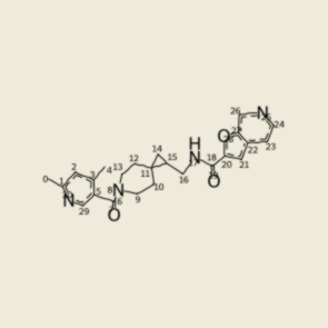 Cc1cc(C)c(C(=O)N2CCC3(CC2)CC3CNC(=O)c2cc3ccncc3o2)cn1